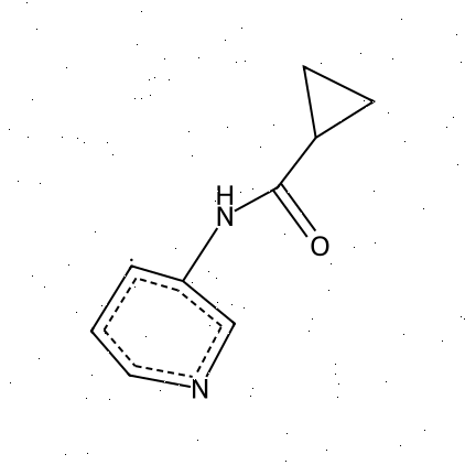 O=C(Nc1[c]ccnc1)C1CC1